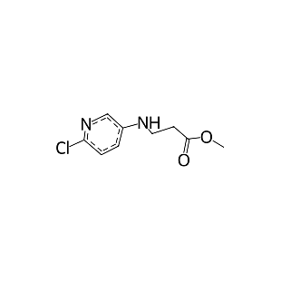 COC(=O)CCNc1ccc(Cl)nc1